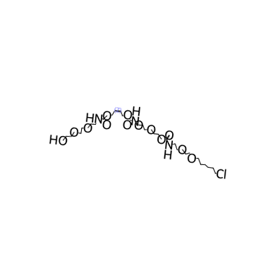 O=C(NCCOCCOCCO)OC/C=C\COC(=O)NOCCOCCOC(=O)NCCOCCOCCCCCCCl